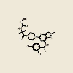 C[C@@H](Nc1nc(N2CCN(C(=O)C(C)(C)NC(=O)OC(C)(C)C)CC2)nc2cn(C)nc12)c1ccc(Cl)cc1Cl